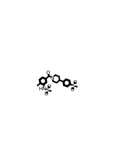 Cc1ccc(C(=O)N2CCC(c3ccc(S(C)(=O)=O)cc3)CC2)cc1NS(C)(=O)=O